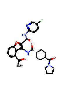 COC(=O)c1cccc2oc(C(=O)Nc3ccc(Cl)cn3)c(NC(=O)[C@H]3CC[C@H](C(=O)N4CCCC4)CC3)c12